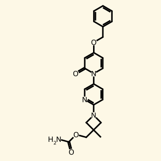 CC1(COC(N)=O)CN(c2ccc(-n3ccc(OCc4ccccc4)cc3=O)cn2)C1